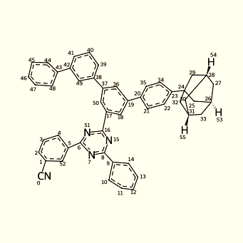 N#Cc1cccc(-c2nc(-c3ccccc3)nc(-c3cc(-c4ccc(C56C[C@H]7C[C@@H](C5)C[C@@H](C6)C7)cc4)cc(-c4cccc(-c5ccccc5)c4)c3)n2)c1